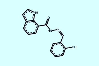 O=C(N/N=C\c1ccccc1O)c1cccc2cc[nH]c12